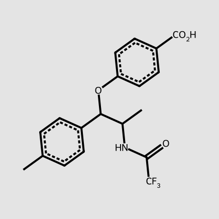 Cc1ccc(C(Oc2ccc(C(=O)O)cc2)C(C)NC(=O)C(F)(F)F)cc1